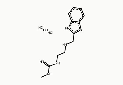 CNC(=N)NCCNCc1nc2ccccc2[nH]1.Cl.Cl.Cl